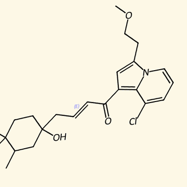 COCCc1cc(C(=O)/C=C/CC2(O)CCC(F)(F)C(C)C2)c2c(Cl)cccn12